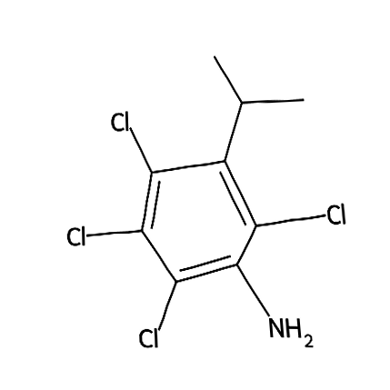 CC(C)c1c(Cl)c(N)c(Cl)c(Cl)c1Cl